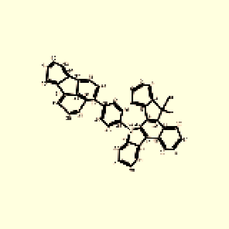 CC1(C)c2ccccc2-c2c1c1ccccc1c1c3ccccc3n(-c3ccc(-c4ccc5c6c(cccc46)-c4ccccc4-5)cc3)c21